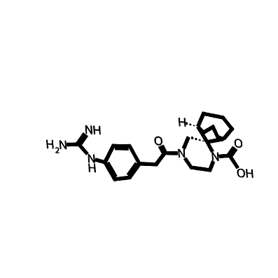 N=C(N)Nc1ccc(CC(=O)N2CCN(C(=O)O)[C@]3(C2)C2CCC[C@H]3CCC2)cc1